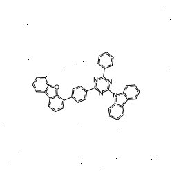 c1ccc(-c2nc(-c3ccc(-c4cccc5c4oc4ccccc45)cc3)nc(-n3c4ccccc4c4ccccc43)n2)cc1